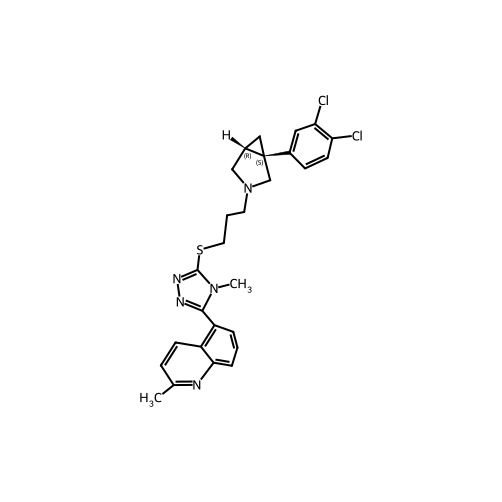 Cc1ccc2c(-c3nnc(SCCCN4C[C@@H]5C[C@]5(c5ccc(Cl)c(Cl)c5)C4)n3C)cccc2n1